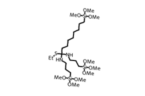 CCSC(CCCCCCCC[Si](OC)(OC)OC)(NCCC[Si](OC)(OC)OC)NCCC[Si](OC)(OC)OC